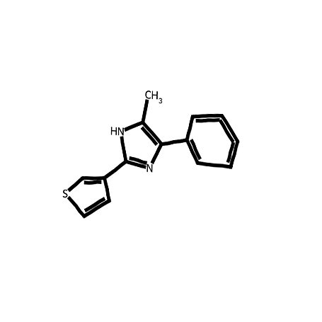 Cc1[nH]c(-c2ccsc2)nc1C1=CC=C=C=C1